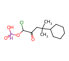 CC(C)(CC(=O)C(Cl)O[PH](=O)O)C1CCCCC1